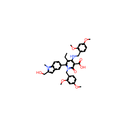 CCc1c(NCc2ccc(OC)cc2OC)c(C(=O)O)c(=O)n(Cc2ccc(OC)cc2OC)c1-c1ccc2c(c1)cc(CO)n2C